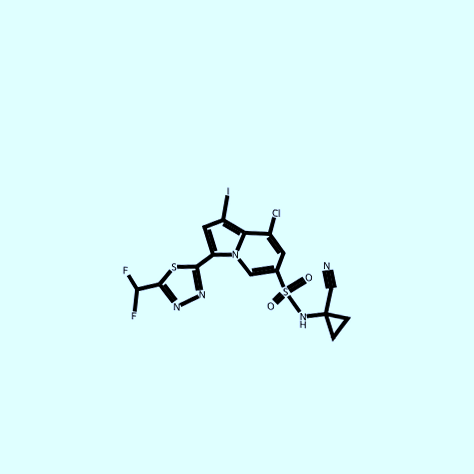 N#CC1(NS(=O)(=O)c2cc(Cl)c3c(I)cc(-c4nnc(C(F)F)s4)n3c2)CC1